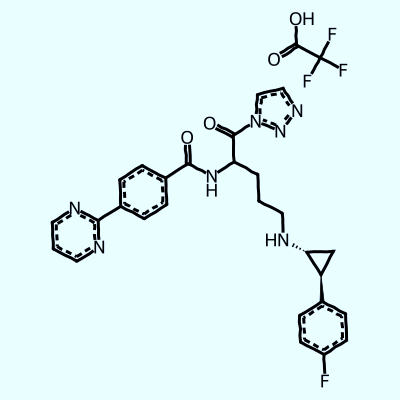 O=C(NC(CCCN[C@@H]1C[C@H]1c1ccc(F)cc1)C(=O)n1ccnn1)c1ccc(-c2ncccn2)cc1.O=C(O)C(F)(F)F